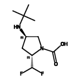 CC(C)(C)N[C@@H]1C[C@@H](C(F)F)N(C(=O)O)C1